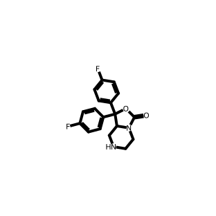 O=C1OC(c2ccc(F)cc2)(c2ccc(F)cc2)C2CNCCN12